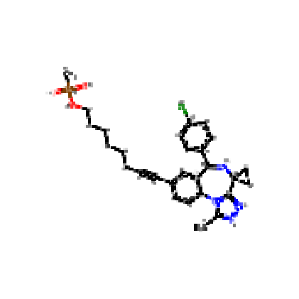 Cc1nnc2n1-c1ccc(C#CCCCCCCOS(C)(=O)=O)cc1C(c1ccc(Cl)cc1)=NC21CC1